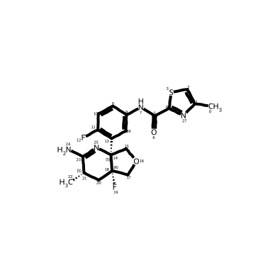 Cc1csc(C(=O)Nc2ccc(F)c([C@]34COC[C@@]3(F)C[C@H](C)C(N)=N4)c2)n1